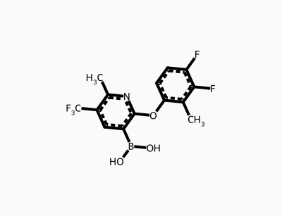 Cc1nc(Oc2ccc(F)c(F)c2C)c(B(O)O)cc1C(F)(F)F